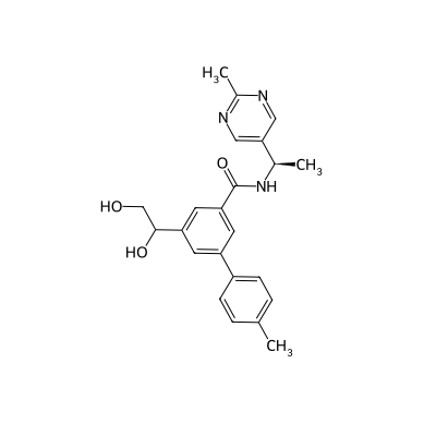 Cc1ccc(-c2cc(C(=O)N[C@H](C)c3cnc(C)nc3)cc(C(O)CO)c2)cc1